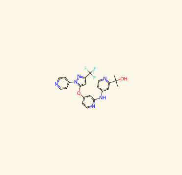 CC(C)(O)c1cc(Nc2cc(Oc3cc(C(F)(F)F)nn3-c3ccncc3)ccn2)ccn1